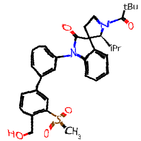 CC(C)[C@@H]1N(C(=O)C(C)(C)C)CCC12C(=O)N(c1cccc(-c3ccc(CO)c(S(C)(=O)=O)c3)c1)c1ccccc12